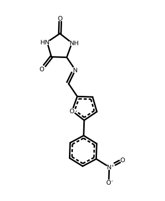 O=C1NC(=O)C(N=Cc2ccc(-c3cccc([N+](=O)[O-])c3)o2)N1